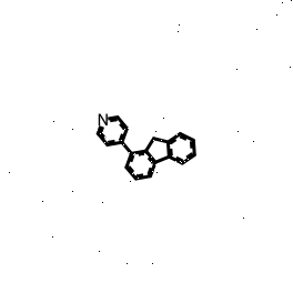 c1ccc2c(c1)Cc1c(-c3ccncc3)cccc1-2